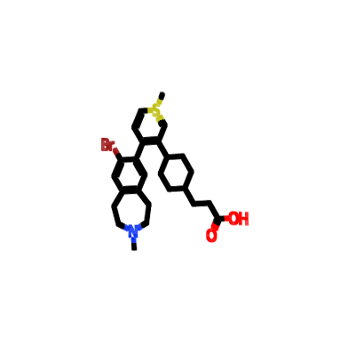 CN1CCc2cc(Br)c(C3=C(C4CCC(CCC(=O)O)CC4)C=S(C)C=C3)cc2CC1